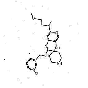 COCCN(C)c1ncc2c(n1)N=C(NCc1cccc(Cl)c1)C1(CCNCC1)N2